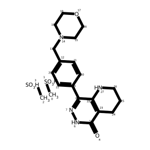 CS(=O)(=O)O.CS(=O)(=O)O.O=c1[nH]nc(-c2ccc(CN3CCOCC3)cc2)c2c1CCCN2